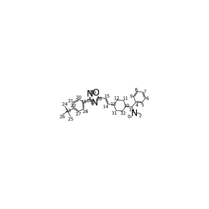 CN(C)C(c1ccccc1)C1CCC(C=Cc2nc(-c3ccc(C(C)(C)C)cc3)no2)CC1